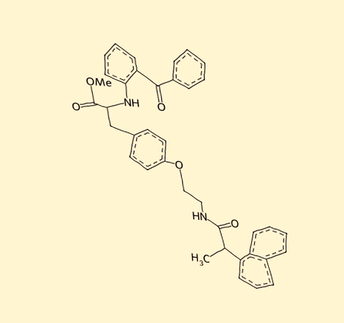 COC(=O)C(Cc1ccc(OCCNC(=O)C(C)c2cccc3ccccc23)cc1)Nc1ccccc1C(=O)c1ccccc1